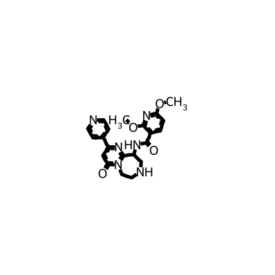 COc1ccc(C(=O)NC2CNCCn3c2nc(-c2ccncc2)cc3=O)c(OC)n1